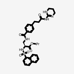 CC(C)OC(=O)[C@H](CNC(=O)c1ccc(CCC(=O)NC2=NCCCN2)cc1)NS(=O)(=O)c1cccc2ccccc12